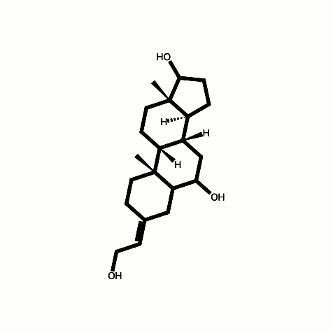 C[C@]12CC/C(=C\CO)CC1C(O)C[C@@H]1[C@H]2CC[C@]2(C)C(O)CC[C@@H]12